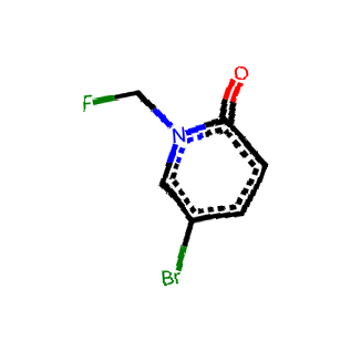 O=c1ccc(Br)cn1CF